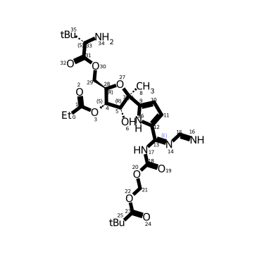 CCC(=O)O[C@H]1[C@@H](O)[C@](C)(c2ccc(/C(=N\C=N)NC(=O)OCOC(=O)C(C)(C)C)[nH]2)O[C@@H]1COC(=O)[C@@H](N)C(C)(C)C